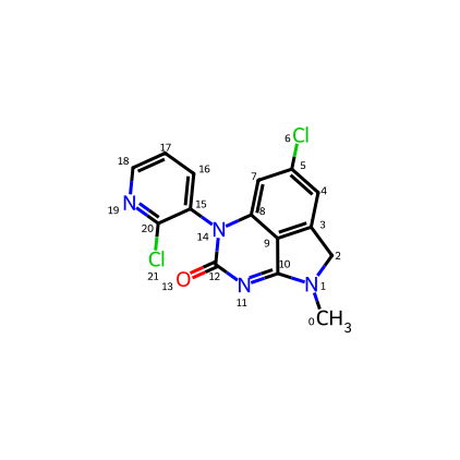 CN1Cc2cc(Cl)cc3c2c1nc(=O)n3-c1cccnc1Cl